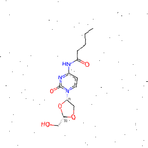 CCCCC(=O)Nc1ccn([C@@H]2CO[C@H](CO)O2)c(=O)n1